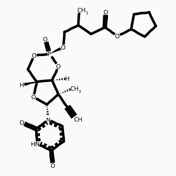 C#C[C@]1(C)[C@@H]2O[P@](=O)(OCC(C)CC(=O)OC3CCCC3)OC[C@H]2O[C@H]1n1ccc(=O)[nH]c1=O